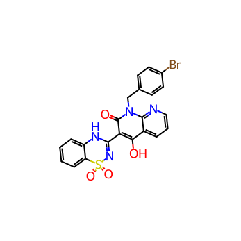 O=c1c(C2=NS(=O)(=O)c3ccccc3N2)c(O)c2cccnc2n1Cc1ccc(Br)cc1